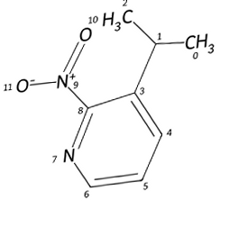 CC(C)c1cccnc1[N+](=O)[O-]